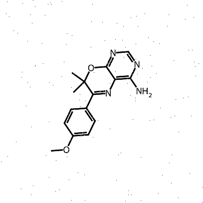 COc1ccc(C2=Nc3c(N)ncnc3OC2(C)C)cc1